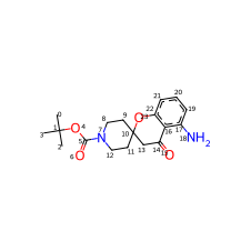 CC(C)(C)OC(=O)N1CCC2(CC1)CC(=O)c1c(N)cccc1O2